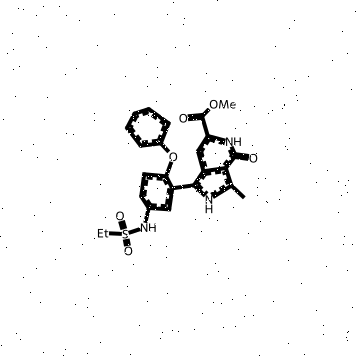 CCS(=O)(=O)Nc1ccc(Oc2ccccc2)c(-c2[nH]c(C)c3c(=O)[nH]c(C(=O)OC)cc23)c1